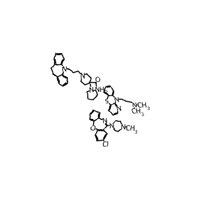 CN(C)CCCN1c2ccccc2Sc2cccnc21.CN1CCN(C2=Nc3ccccc3Oc3ccc(Cl)cc32)CC1.NC(=O)C1(N2CCCCC2)CCN(CCCN2c3ccccc3CCc3ccccc32)CC1